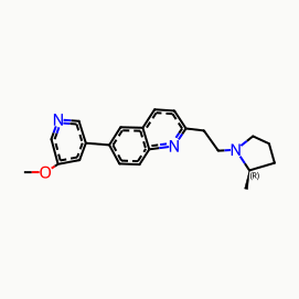 COc1cncc(-c2ccc3nc(CCN4CCC[C@H]4C)ccc3c2)c1